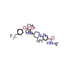 CCCC1CC(NC(=O)C(C)(C)Oc2ccc(C(F)(F)F)cc2)CCN1c1ccc(C(=O)NC2CC2)cn1